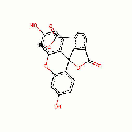 CC(C)(C)OC(=O)c1cccc2c1C1(OC2=O)c2ccc(O)cc2Oc2cc(O)ccc21